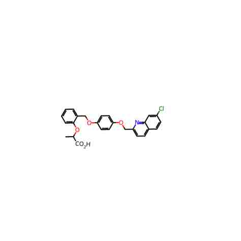 CC(Oc1ccccc1COc1ccc(OCc2ccc3ccc(Cl)cc3n2)cc1)C(=O)O